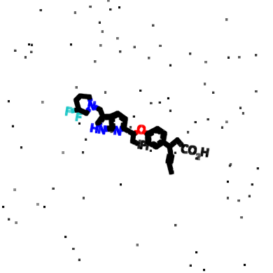 CC#CC(CC(=O)O)c1ccc(OC(CC(C)C)c2ccc3c(CN4CCCC(F)(F)C4)c[nH]c3n2)cc1